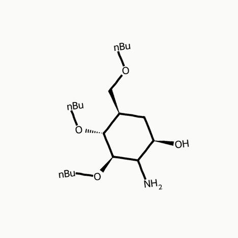 CCCCOC[C@H]1C[C@@H](O)C(N)[C@@H](OCCCC)[C@@H]1OCCCC